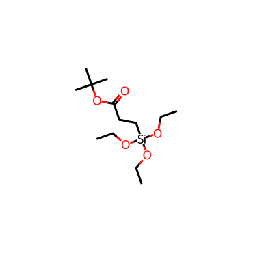 CCO[Si](CCC(=O)OC(C)(C)C)(OCC)OCC